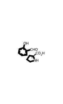 O=C(O)[C@@H]1CCCN1.O=Cc1ccccc1O